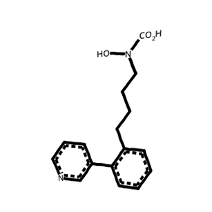 O=C(O)N(O)CCCCc1ccccc1-c1cccnc1